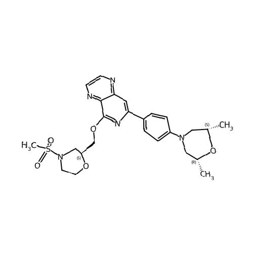 C[C@@H]1CN(c2ccc(-c3cc4nccnc4c(OC[C@@H]4CN(S(C)(=O)=O)CCO4)n3)cc2)C[C@H](C)O1